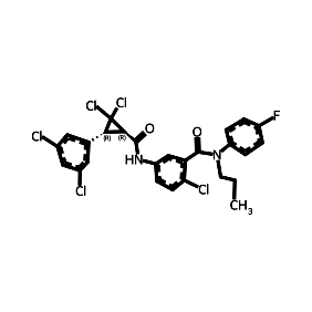 CCCN(C(=O)c1cc(NC(=O)[C@H]2[C@H](c3cc(Cl)cc(Cl)c3)C2(Cl)Cl)ccc1Cl)c1ccc(F)cc1